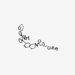 COCCOCC(=O)N1CCc2ccc(C(=O)NOC3CCCCO3)cc2C1